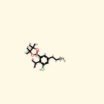 BCCc1cc(Cl)c(C(C)C)c(B2OC(C)(C)C(C)(C)O2)c1